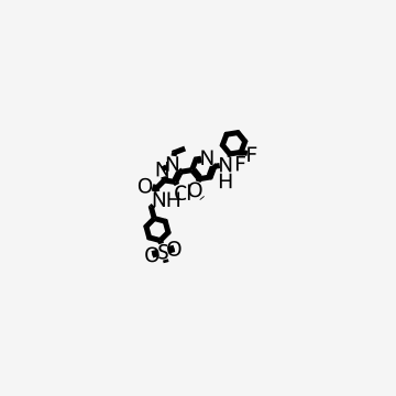 CCn1nc(C(=O)NCC2CCC(S(C)(=O)=O)CC2)c(Cl)c1-c1cnc(N[C@H]2CCCCC2(F)F)cc1OC